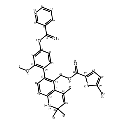 COc1cc(OC(=O)c2cccnc2)ccc1-c1ccc2c(c1COC(=O)c1ccc(Br)s1)C(C)=CC(C)(C)N2